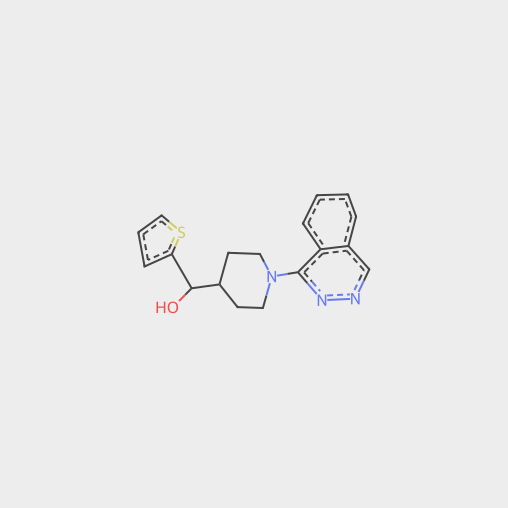 OC(c1cccs1)C1CCN(c2nncc3ccccc23)CC1